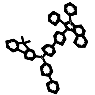 CC1(C)c2ccccc2-c2ccc(N(c3ccc(-c4ccccc4)cc3)c3ccc(-c4ccc(-c5c(-c6ccccc6)n(-c6ccccc6)c6ccc7ccccc7c56)cc4)cc3)cc21